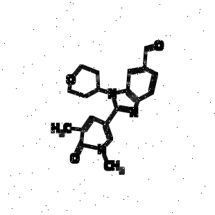 Cc1cc(-c2nc3ccc(C=O)cc3n2C2CCOCC2)cn(C)c1=O